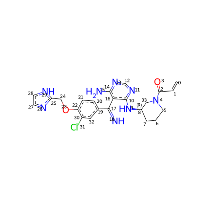 C=CC(=O)N1CCC[C@@H](Nc2ncnc(N)c2C(=N)c2ccc(OCc3ncc[nH]3)c(Cl)c2)C1